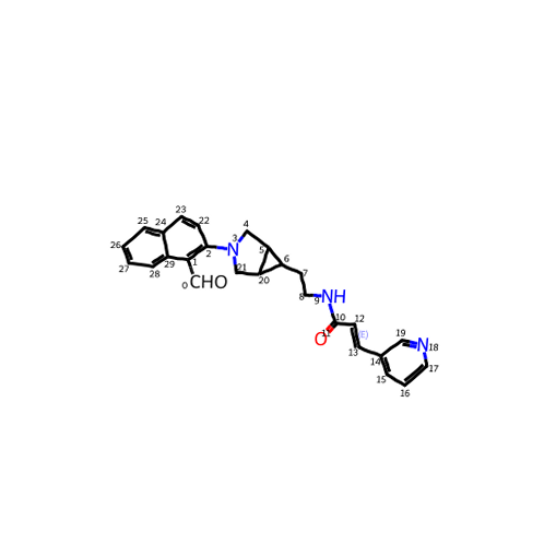 O=Cc1c(N2CC3C(CCNC(=O)/C=C/c4cccnc4)C3C2)ccc2ccccc12